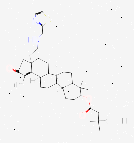 CC(C)C1=C2[C@H]3CCC4[C@@]5(C)CC[C@H](OC(=O)CC(C)(C)C(=O)O)C(C)(C)C5CC[C@@]4(C)[C@]3(C)CC[C@@]2(CCNCc2nccs2)CC1=O